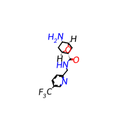 N[C@H]1C[C@H]2O[C@@H]1C[C@@H]2C(=O)NCc1ccc(C(F)(F)F)cn1